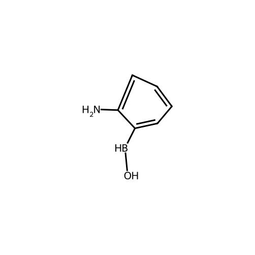 Nc1ccccc1BO